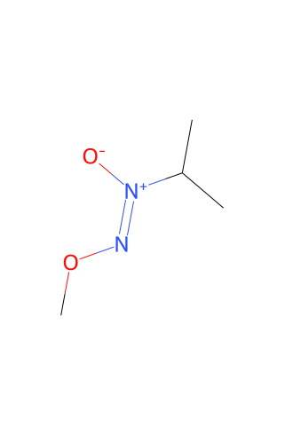 CON=[N+]([O-])C(C)C